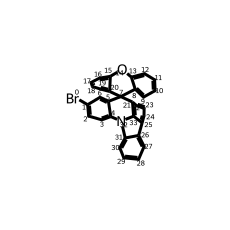 Brc1ccc2c(c1)C1(c3ccccc3Oc3ccccc31)c1cccc3c4ccccc4n-2c13